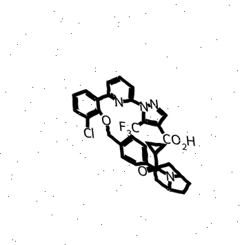 O=C(O)c1cnn(-c2cccc(-c3cccc(Cl)c3OCc3ccc(C4CC5CCC(C4)N5C(=O)C4CC4)cc3)n2)c1C(F)(F)F